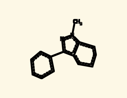 Cn1nc(-c2ccccc2)c2ccccc21